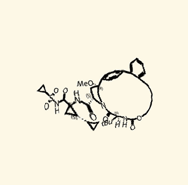 CO[C@@]12C[C@@H](C(=O)N[C@]3(C(=O)NS(=O)(=O)C4CC4)C[C@H]3C3CC3)N(C1)C(=O)[C@H](C(C)(C)C)NC(=O)OCCCCCc1ccccc1-c1ccc2cc1